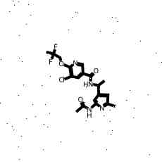 CC(=O)Nc1cc(C(C)NC(=O)c2cnc(OCC(C)(F)F)c(Cl)c2)cc(C)n1